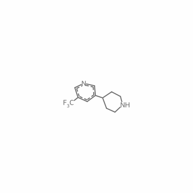 FC(F)(F)c1cncc(C2CCNCC2)c1